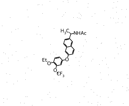 CCOc1ccc(Oc2ccc3cc(C(C)NC(C)=O)ccc3c2)cc1OC(F)(F)F